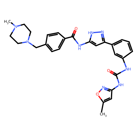 Cc1cc(NC(=O)Nc2cccc(-c3cc(NC(=O)c4ccc(CN5CCN(C)CC5)cc4)[nH]n3)c2)no1